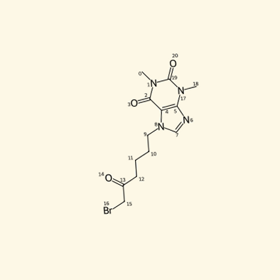 Cn1c(=O)c2c(ncn2CCCCC(=O)CBr)n(C)c1=O